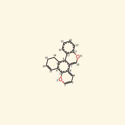 C1=COc2c3c(c4c(c2=C1)=COc1ccccc1-4)CCC=C3